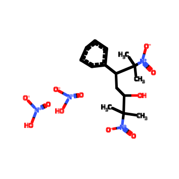 CC(C)(C(O)CC(c1ccccc1)C(C)(C)[N+](=O)[O-])[N+](=O)[O-].O=[N+]([O-])O.O=[N+]([O-])O